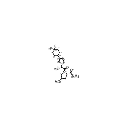 CNC(=O)[C@@H]1C[C@@H](O)CN1C(=O)[C@@H](n1cc(C2CCC(F)(F)CC2)nn1)C(C)(C)C